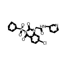 O=C(Cn1c(=O)n(S(=O)(=O)c2ccccc2)c(=O)c2ccc(Cl)cc21)Nc1cccnc1